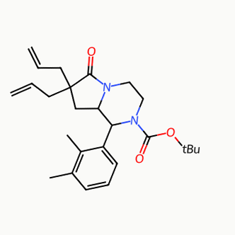 C=CCC1(CC=C)CC2C(c3cccc(C)c3C)N(C(=O)OC(C)(C)C)CCN2C1=O